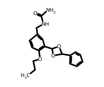 CCCOc1ccc(CNC(N)=O)cc1C1OC(c2ccccc2)O1